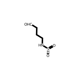 O=CCCCN[SH](=O)=O